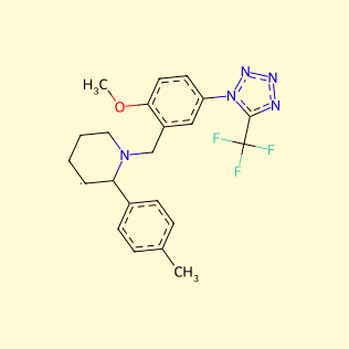 COc1ccc(-n2nnnc2C(F)(F)F)cc1CN1CCC[CH]C1c1ccc(C)cc1